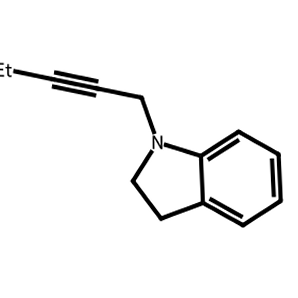 CCC#CCN1CCc2ccccc21